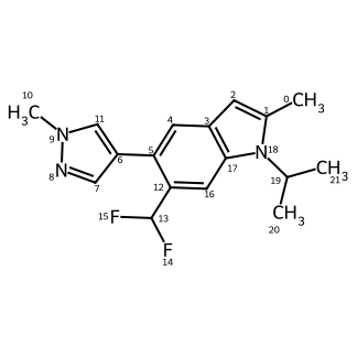 Cc1cc2cc(-c3cnn(C)c3)c(C(F)F)cc2n1C(C)C